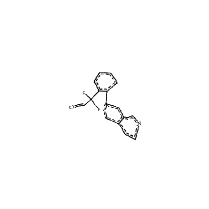 O=CC(F)(F)c1ccccc1-c1ccc2ccncc2c1